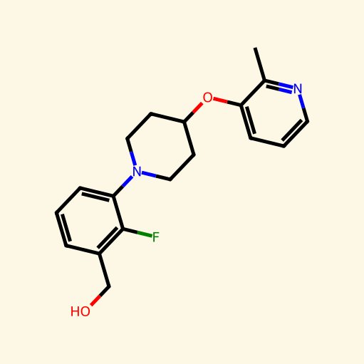 Cc1ncccc1OC1CCN(c2cccc(CO)c2F)CC1